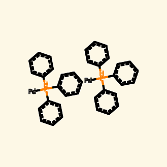 [Pd][PH](c1ccccc1)(c1ccccc1)c1ccccc1.[Pd][PH](c1ccccc1)(c1ccccc1)c1ccccc1